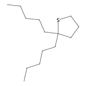 CCCCCC1(CCCCC)CCCS1